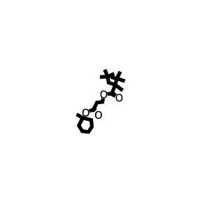 CC(C)(C)CC(C)(C(=O)OCCC(=O)OC1(C)CCCCC1)C(C)(C)C